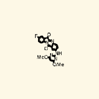 COc1cc(OC)nc(Nc2ccc3nc4n(c(=O)c3c2)-c2ccc(F)cc2C4=O)n1